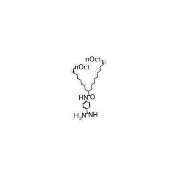 CCCCCCCC/C=C\CCCCCCCCC(CCCCCC/C=C\CCCCCCCC)C(=O)Nc1ccc(C(=N)N)cc1